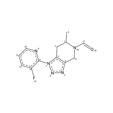 CC1Cc2c(nnn2-c2ncccc2F)CN1C=O